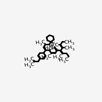 C=C(C)CC1=CCC(/C(=C/C(C)CC2(F)CCCCC2)C(=C)\C(C)=C/C(=C\C)C(=C(\C)CCC)/C(C)=C(\C)CC)C=C1